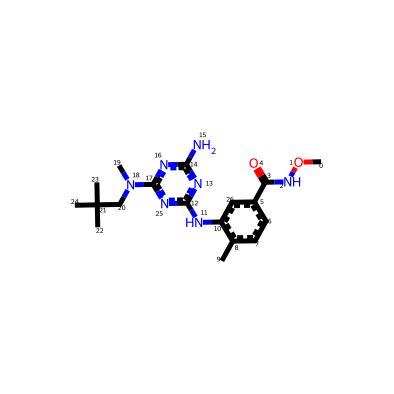 CONC(=O)c1ccc(C)c(Nc2nc(N)nc(N(C)CC(C)(C)C)n2)c1